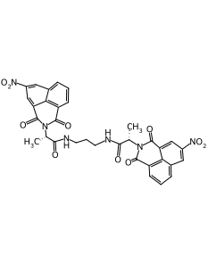 C[C@@H](C(=O)NCCCNC(=O)[C@H](C)N1C(=O)c2cccc3cc([N+](=O)[O-])cc(c23)C1=O)N1C(=O)c2cccc3cc([N+](=O)[O-])cc(c23)C1=O